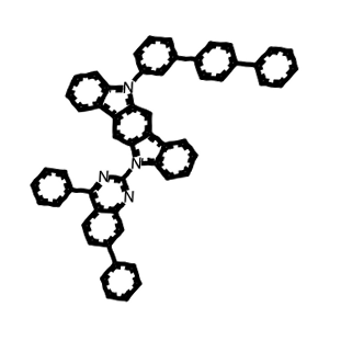 c1ccc(-c2ccc(-c3cccc(-n4c5ccccc5c5cc6c(cc54)c4ccccc4n6-c4nc(-c5ccccc5)c5ccc(-c6ccccc6)cc5n4)c3)cc2)cc1